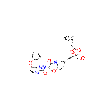 CN1C(=O)C(NC(=O)c2cc(Oc3ccccc3)ccn2)COc2ccc(C#CC3(OC(=O)CCC(=O)O)COC3)cc21